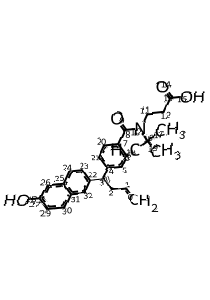 C=CC[C@H](c1ccc(C(=O)N(CCC(=O)O)C(C)(C)C)cc1)c1ccc2cc(O)ccc2c1